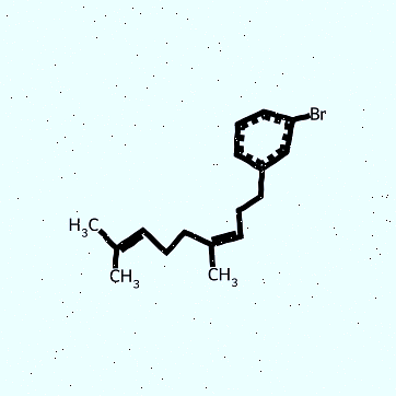 CC(C)=CCCC(C)=CCCc1cccc(Br)c1